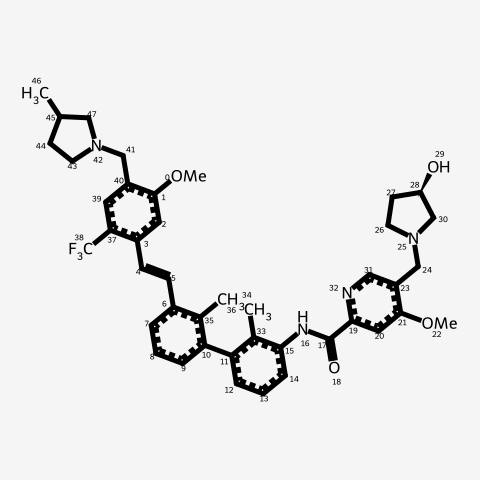 COc1cc(/C=C/c2cccc(-c3cccc(NC(=O)c4cc(OC)c(CN5CC[C@@H](O)C5)cn4)c3C)c2C)c(C(F)(F)F)cc1CN1CCC(C)C1